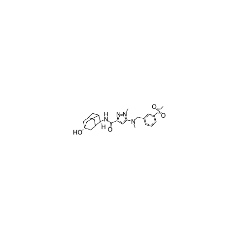 CN(Cc1cccc(S(C)(=O)=O)c1)c1cc(C(=O)N[C@H]2C3CC4CC2C[C@](O)(C4)C3)nn1C